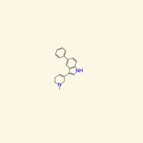 CN1CCC=C(c2c[nH]c3ccc(-c4ccccc4)cc23)C1